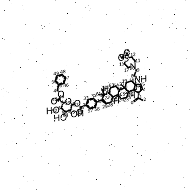 C=C(C)[C@@H]1CC[C@]2(NCCN3CCS(=O)(=O)CC3)CC[C@]3(C)[C@H](CC[C@@H]4[C@@]5(C)CC=C(c6ccc(C(=O)OC7O[C@H](C(=O)OCc8ccccc8)[C@@H](O)[C@H](O)[C@H]7O)cc6)C(C)(C)[C@@H]5CC[C@]43C)[C@@H]12